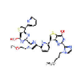 CCOCCn1cc(-c2cccc(-c3csc4c(O)nc(-c5nccn5CCCOC)nc34)n2)nc1-c1nc(O)c2scc(-c3ccccn3)c2n1